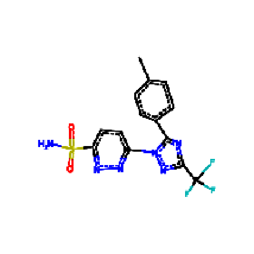 Cc1ccc(-c2nc(C(F)(F)F)nn2-c2ccc(S(N)(=O)=O)nn2)cc1